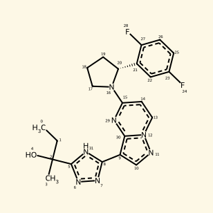 CCC(C)(O)c1nnc(-c2cnn3ccc(N4CCC[C@@H]4c4cc(F)ccc4F)nc23)[nH]1